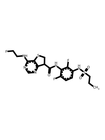 CCCS(=O)(=O)Nc1ccc(F)c(NC(=O)C2CSc3c(NCCF)ncnc32)c1F